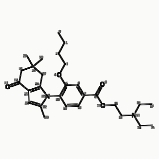 CCCCOc1cc(C(=O)OCCN(CC)CC)ccc1-n1c(C)cc2c1CC(C)(C)CC2=O